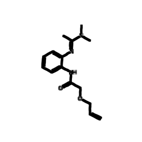 C=CCOCC(=O)Nc1ccccc1/N=C(\C)N(C)C